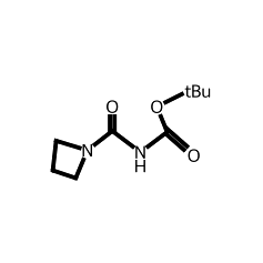 CC(C)(C)OC(=O)NC(=O)N1CCC1